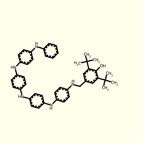 CC(C)(C)c1cc(CNc2ccc(Nc3ccc(Nc4ccc(Nc5ccc(Nc6ccccc6)cc5)cc4)cc3)cc2)cc(C(C)(C)C)c1O